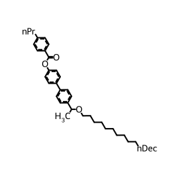 CCCCCCCCCCCCCCCCCCCCOC(C)c1ccc(-c2ccc(OC(=O)c3ccc(CCC)cc3)cc2)cc1